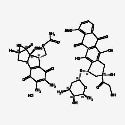 CO[C@@]12[C@H](COC(N)=O)C3=C(C(=O)C(C)=C(N)C3=O)N1C[C@@H]1N[C@@H]12.COc1cccc2c1C(=O)c1c(O)c3c(c(O)c1C2=O)C[C@@](O)(C(=O)CO)C[C@@H]3O[C@H]1C[C@H](N)[C@H](O)[C@H](C)O1.Cl